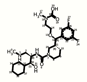 CNC[C@@H](NC(=O)N1CCC[C@@H]([C@@H](OCCN(C)C(=O)O)c2cc(F)cc(F)c2)C1)[C@@H](O)C1CCCCC1